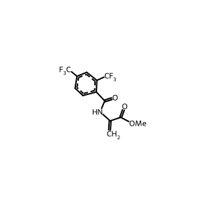 C=C(NC(=O)c1ccc(C(F)(F)F)cc1C(F)(F)F)C(=O)OC